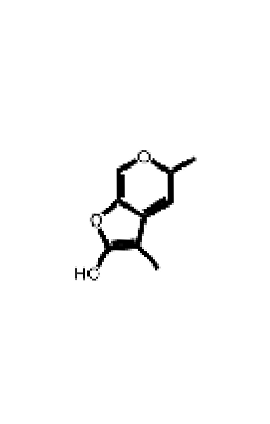 Cc1c(O)oc2c1=CC(C)OC=2